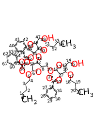 C=CCCCOC1OC(COC2OC(CO)C(OCCCC)C2OC(=O)c2ccccc2)C(OC2(OC(=O)c3ccccc3)COC(CO)C2OCCCC)C1OC(=O)c1ccccc1